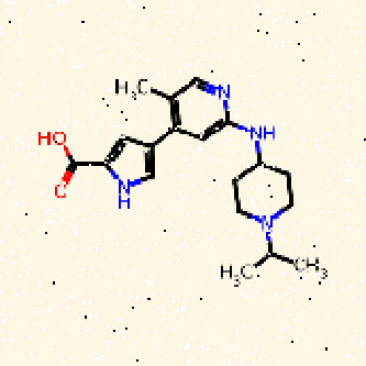 Cc1cnc(NC2CCN(C(C)C)CC2)cc1-c1c[nH]c(C(=O)O)c1